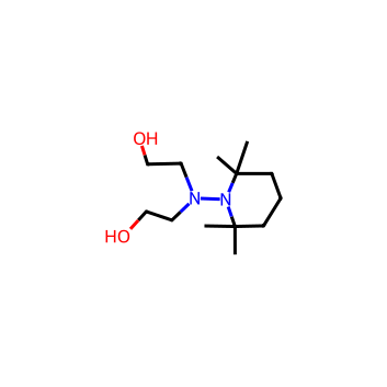 CC1(C)CCCC(C)(C)N1N(CCO)CCO